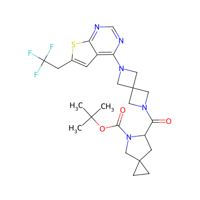 CC(C)(C)OC(=O)N1CC2(CC2)CC1C(=O)N1CC2(C1)CN(c1ncnc3sc(CC(F)(F)F)cc13)C2